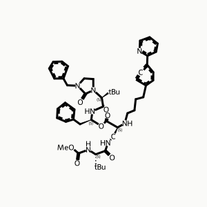 COC(=O)N[C@H](C(=O)NC[C@H](NCCCCc1ccc(-c2ccccn2)cc1)C(=O)O[C@@H](Cc1ccccc1)NC(=O)[C@@H](N1CCN(Cc2ccccc2)C1=O)C(C)(C)C)C(C)(C)C